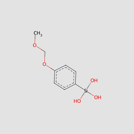 COCOc1ccc([Si](O)(O)O)cc1